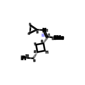 CS/C(=N/C1CC1)[C@H]1C[C@@H](CC(C)C)C1